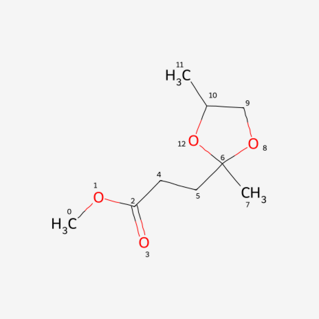 COC(=O)CCC1(C)OCC(C)O1